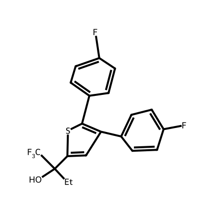 CCC(O)(c1cc(-c2ccc(F)cc2)c(-c2ccc(F)cc2)s1)C(F)(F)F